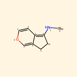 CC(C)(C)NC1=C2C=COC=C2CC1